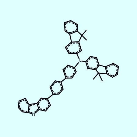 CC1(C)c2ccccc2-c2ccc(N(c3ccc(-c4ccc(-c5ccc6oc7ccccc7c6c5)cc4)cc3)c3ccc4c(c3)C(C)(C)c3ccccc3-4)cc21